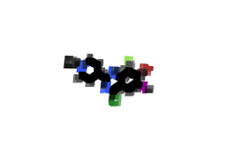 CCN1CCC(c2nc(Cl)c3cc(I)c(Br)c(F)c3n2)CC1